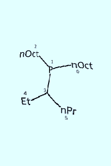 CCCCCCCCP(CCCCCCCC)C(CC)CCC